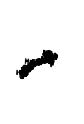 CN(Cc1cc2c(cc1Br)C(=O)N(C1CCC(=O)NC1=O)C2)C1CCN(c2cccc(-c3cnc4ccc(N5CCC[C@@H]5c5cccc(F)c5)nn34)n2)CC1